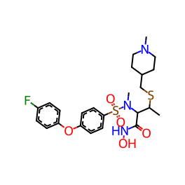 CC(SCC1CCN(C)CC1)C(C(=O)NO)N(C)S(=O)(=O)c1ccc(Oc2ccc(F)cc2)cc1